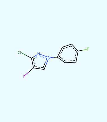 Fc1ccc(-n2cc(I)c(Cl)n2)cc1